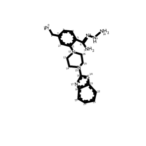 CC(C)Cc1ccc(/C(N)=N/NN)c(N2CCN(c3nc4ccccc4s3)CC2)c1